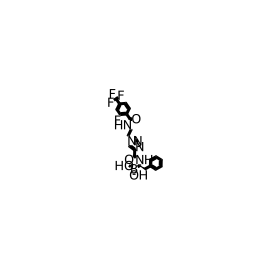 O=C(N[C@@H](Cc1ccccc1)B(O)O)c1cn(CCNC(=O)c2ccc(C(F)(F)F)cc2F)nn1